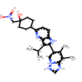 Cc1c(-c2[nH]c3ccc(C4CCC(O)(C[N+](=O)[O-])CC4)nc3c2C(C)C)cn2ncnc2c1C